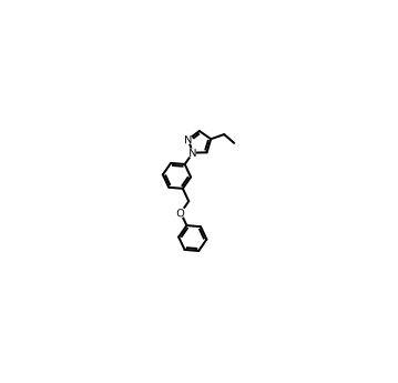 CCc1cnn(-c2cccc(COc3ccccc3)c2)c1